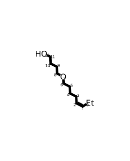 CC/C=C\CCCCOCCCCO